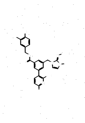 Cc1nc(F)ccc1-c1cc(Cn2ccn(C)/c2=N\C(=O)O)cc(C(=O)NCc2ccc(Cl)c(Cl)c2)c1